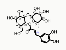 C[C@@H]1O[C@@H](O[C@@H]2[C@@H](O)[C@H](O)O[C@H](CO)[C@H]2OC(=O)/C=C/c2ccc(O)c(O)c2)[C@H](O)[C@H](O)[C@H]1O